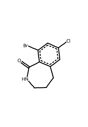 O=C1NCCCc2cc(Cl)cc(Br)c21